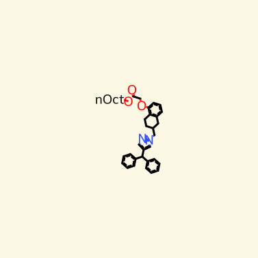 CCCCCCCCOC(=O)COc1cccc2c1CCC(Cn1cc(C(c3ccccc3)c3ccccc3)cn1)C2